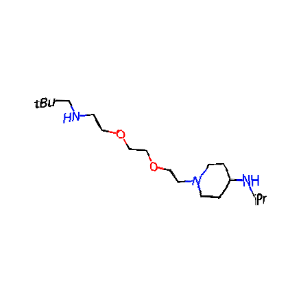 CC(C)NC1CCN(CCOCCOCCNCC(C)(C)C)CC1